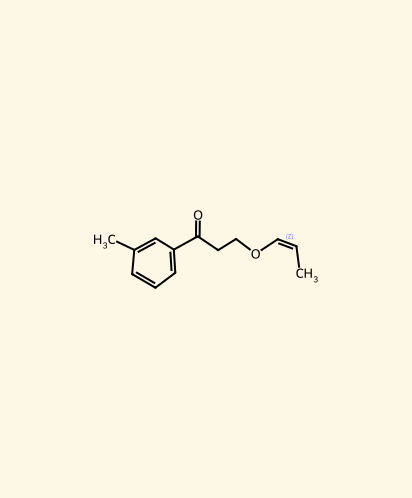 C/C=C\OCCC(=O)c1cccc(C)c1